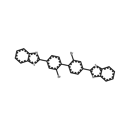 Brc1cc(-c2nc3ccccc3s2)ccc1-c1ccc(-c2nc3ccccc3s2)cc1Br